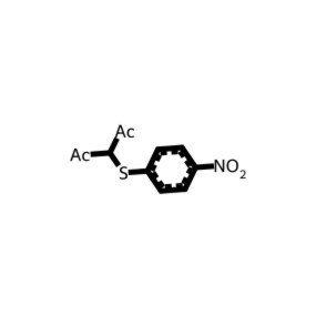 CC(=O)C(Sc1ccc([N+](=O)[O-])cc1)C(C)=O